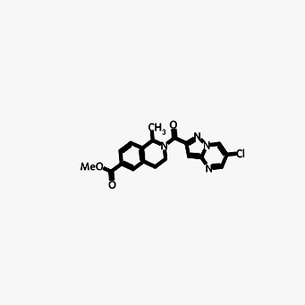 COC(=O)c1ccc2c(c1)CCN(C(=O)c1cc3ncc(Cl)cn3n1)C2C